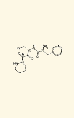 CC(C)C[C@H](NC(=O)[C@@H](N)Cc1ccccc1)C(=O)[PH](=O)[C@H]1CCCCN1